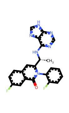 C[C@@H](Nc1ncnc2[nH]cnc12)c1cc2ccc(F)cc2c(=O)n1-c1ccccc1F